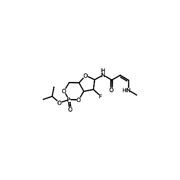 CN/C=C\C(=O)NC1OC2COP(=O)(OC(C)C)OC2C1F